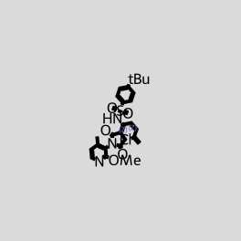 C=C(Cl)/C=C\C(NS(=O)(=O)c1ccc(C(C)(C)C)cc1)=C1/CC(=O)N(c2c(C)ccnc2OC)C1=O